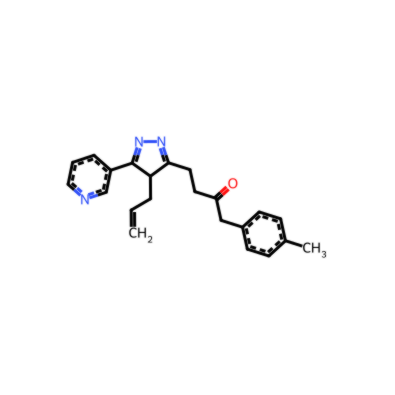 C=CCC1C(CCC(=O)Cc2ccc(C)cc2)=NN=C1c1cccnc1